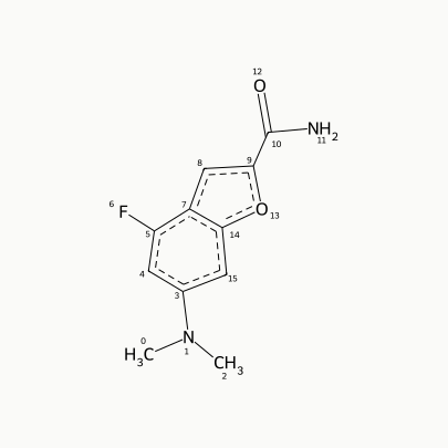 CN(C)c1cc(F)c2cc(C(N)=O)oc2c1